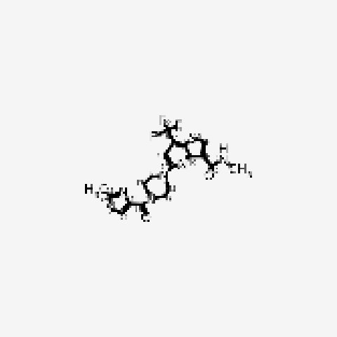 CNC(=O)c1csc2c(C(F)(F)F)cc(N3CCN(C(=O)c4csc(C)n4)CC3)nc12